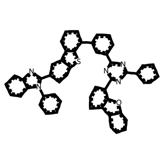 c1ccc(-c2nc(-c3cccc(-c4cccc5c4sc4ccc(-c6nc7ccccc7n6-c6ccccc6)cc45)c3)nc(-c3cccc4c3oc3ccccc34)n2)cc1